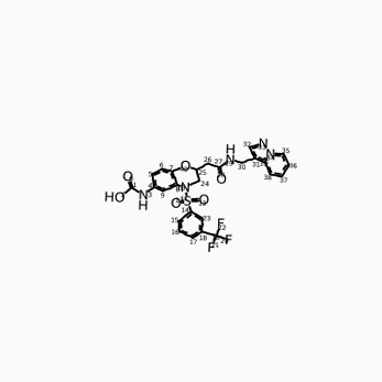 O=C(O)Nc1ccc2c(c1)N(S(=O)(=O)c1cccc(C(F)(F)F)c1)CC(CC(=O)NCc1cnn3ccccc13)O2